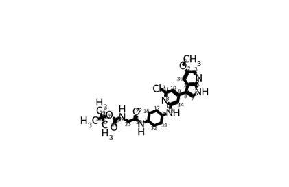 COc1cnc2[nH]cc(-c3cc(Cl)nc(NC4CCC(NC(=O)CNC(=O)OC(C)(C)C)CC4)c3)c2c1